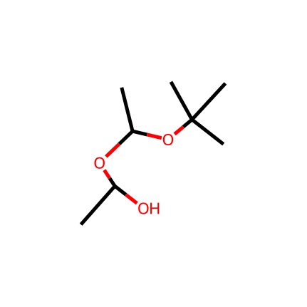 CC(O)OC(C)OC(C)(C)C